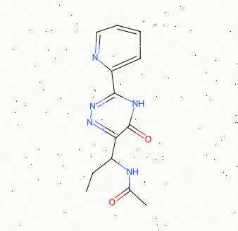 CCC(NC(C)=O)c1nnc(-c2ccccn2)[nH]c1=O